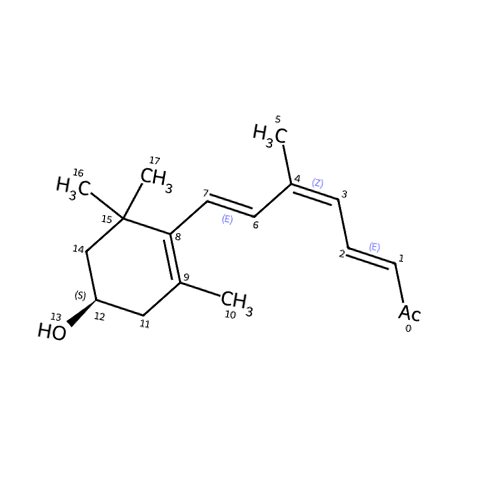 CC(=O)/C=C/C=C(C)\C=C\C1=C(C)C[C@@H](O)CC1(C)C